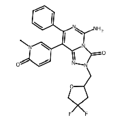 Cn1cc(-c2c(-c3ccccc3)nc(N)n3c(=O)n(CC4CC(F)(F)CO4)nc23)ccc1=O